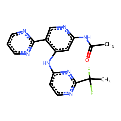 CC(=O)Nc1cc(Nc2ccnc(C(C)(F)F)n2)c(-c2ncccn2)cn1